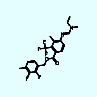 CCN(C)/C=N/c1ccc(C(=O)OCc2ccc(C)c(F)c2F)c(C(F)(F)F)c1C